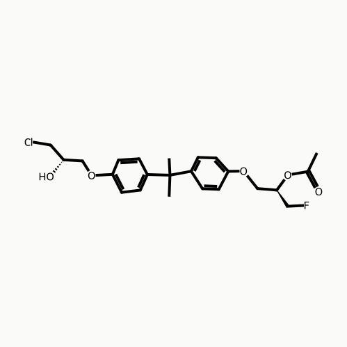 CC(=O)O[C@@H](CF)COc1ccc(C(C)(C)c2ccc(OC[C@H](O)CCl)cc2)cc1